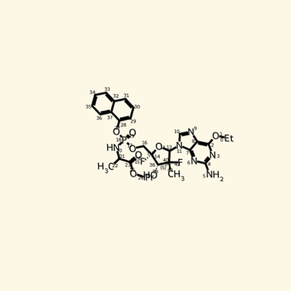 CCOc1nc(N)nc2c1ncn2C1O[C@](F)(COP(=O)(NC(C)C(=O)OC(C)C)Oc2cccc3ccccc23)[C@@H](O)[C@@]1(C)F